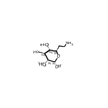 NCC[C@H]1O[C@H](O)[C@H](O)[C@@H](O)[C@@H]1O